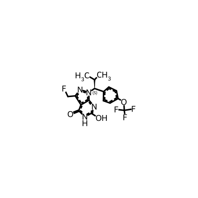 CC(C)[C@@H](c1ccc(OC(F)(F)F)cc1)n1nc(CF)c2c(=O)[nH]c(O)nc21